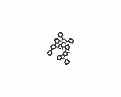 c1ccc(-c2ccc(-c3ccccc3)c(-c3cnc(-c4cccc5oc6cc7c(cc6c45)c4ccccc4n7-c4ccccc4)c(-c4nc(-c5ccccc5)nc(-c5ccccc5)n4)c3)c2)cc1